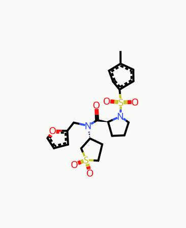 Cc1ccc(S(=O)(=O)N2CCC[C@H]2C(=O)N(Cc2ccco2)[C@@H]2CCS(=O)(=O)C2)cc1